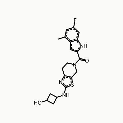 Cc1cc(F)cc2[nH]c(C(=O)N3CCc4nc(NC5CC(O)C5)sc4C3)cc12